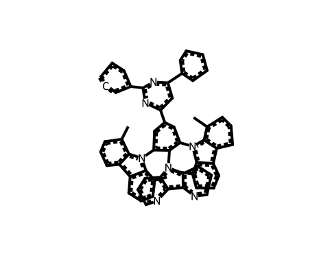 Cc1cccc2c3cccc(C)c3n(-c3cc(-c4cc(-c5ccccc5)nc(-c5ccccc5)n4)cc(-n4c5c(C)cccc5c5cccc(C)c54)c3-n3c4cccnc4c4ncccc43)c12